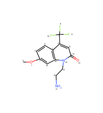 COc1ccc2c(C(F)(F)F)cc(=O)n(CCN)c2c1